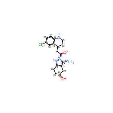 Nc1c2c(nn1C(=O)CC1CCNc3ccc(Cl)cc31)CC[C@H](O)C2